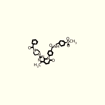 Cc1nc(N2CCN(C(=O)c3ccccc3)CC2)nc2c1ccc(=O)n2-c1ccc(C(=O)NCc2ccc(S(C)(=O)=O)cc2)cc1